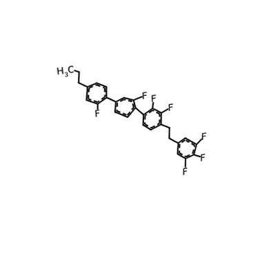 CCCc1ccc(-c2ccc(-c3ccc(CCc4cc(F)c(F)c(F)c4)c(F)c3F)c(F)c2)c(F)c1